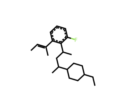 C/C=C(\C)c1cccc(F)c1C(C)CC(C)C1CCC(CC)CC1